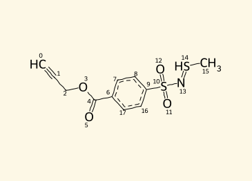 C#CCOC(=O)c1ccc(S(=O)(=O)N=[SH]C)cc1